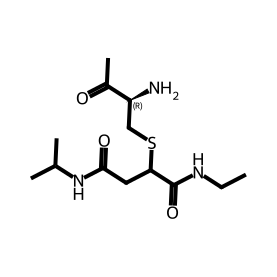 CCNC(=O)C(CC(=O)NC(C)C)SC[C@H](N)C(C)=O